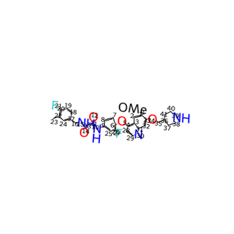 COc1cc2c(Oc3ccc(NC(=O)C(=O)NCc4ccc(F)c(C)c4)cc3F)ccnc2cc1OCC1CCNCC1